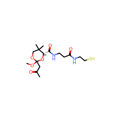 COC1(CC(C)=O)OCC(C)(C)[C@H](C(=O)NCCC(=O)NCCS)O1